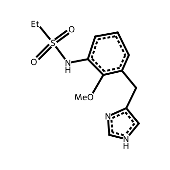 CCS(=O)(=O)Nc1cccc(Cc2c[nH]cn2)c1OC